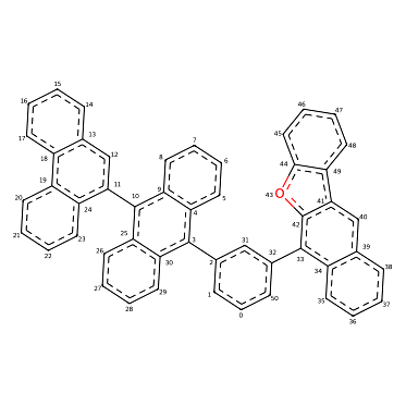 c1cc(-c2c3ccccc3c(-c3cc4ccccc4c4ccccc34)c3ccccc23)cc(-c2c3ccccc3cc3c2oc2ccccc23)c1